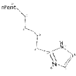 [CH2]CCCCCCCCc1ncc[nH]1